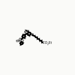 CCOC(=O)CCCCCCCCCOc1ccc2c(-c3ccc(C(=O)OC4(C(C)(C)C)CCCC4)cc3)ncnc2c1